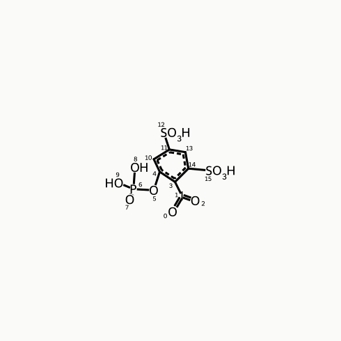 O=I(=O)c1c(OP(=O)(O)O)cc(S(=O)(=O)O)cc1S(=O)(=O)O